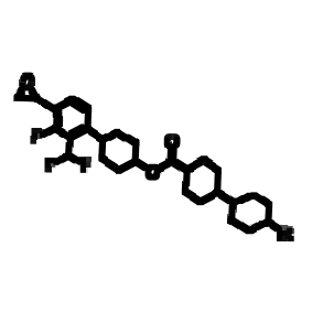 CCC1CCC(C2CCC(C(=O)OC3CCC(c4ccc(C5CO5)c(F)c4C(F)F)CC3)CC2)CC1